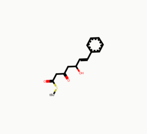 CC(C)(C)SC(=O)CC(=O)CC(O)/C=C/c1ccccc1